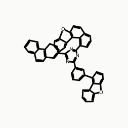 C1=C(c2nc(-c3cccc(-c4cccc5oc6ccccc6c45)c3)nc(-c3cccc4ccc5oc6ccccc6c5c34)n2)CCc2c1ccc1ccccc21